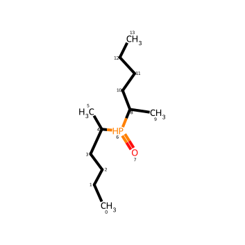 CCCCC(C)[PH](=O)C(C)CCCC